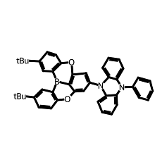 CC(C)(C)c1ccc2c(c1)B1c3cc(C(C)(C)C)ccc3Oc3cc(N4c5ccccc5N(c5ccccc5)c5ccccc54)cc(c31)O2